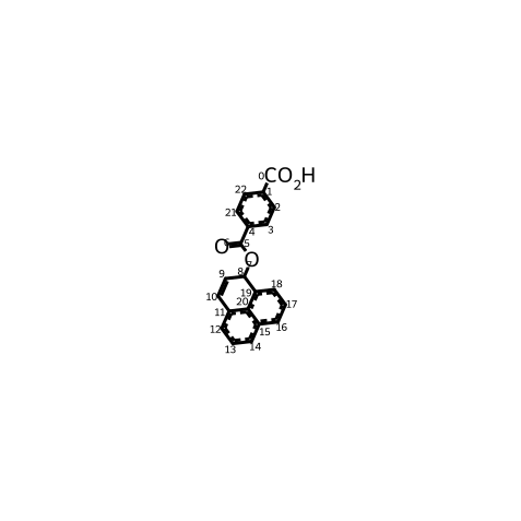 O=C(O)c1ccc(C(=O)OC2C=Cc3cccc4cccc2c34)cc1